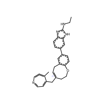 CCNc1nc2ccc(-c3ccc4c(c3)C/C=C(/CC3=CC=NC=C=C3C)CCO4)cc2[nH]1